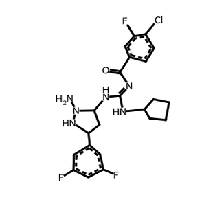 NN1NC(c2cc(F)cc(F)c2)CC1N/C(=N\C(=O)c1ccc(Cl)c(F)c1)NC1CCCC1